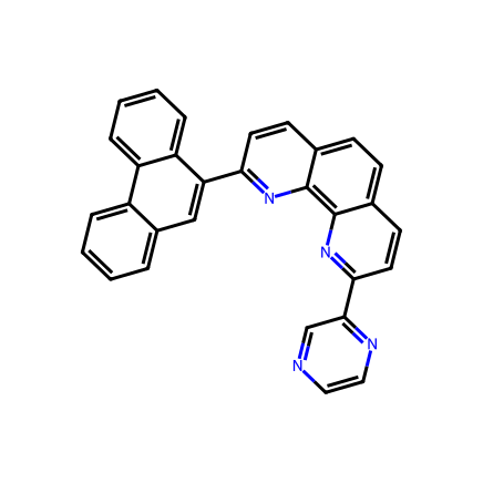 c1ccc2c(c1)cc(-c1ccc3ccc4ccc(-c5cnccn5)nc4c3n1)c1ccccc12